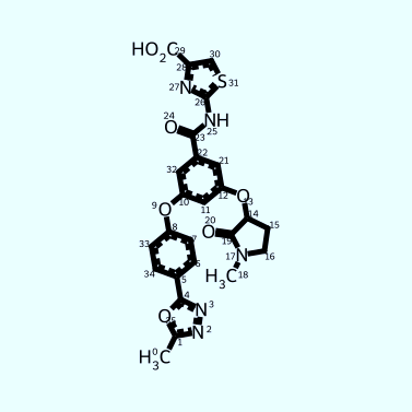 Cc1nnc(-c2ccc(Oc3cc(OC4CCN(C)C4=O)cc(C(=O)Nc4nc(C(=O)O)cs4)c3)cc2)o1